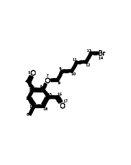 Cc1cc(C=O)c(OCCCCCCBr)c(C=O)c1